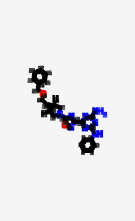 Nc1nc(Nc2ccccc2)nc(-c2noc(N3C[C@@H]4[C@@H](COCc5ccccc5)[C@@H]4C3)n2)n1